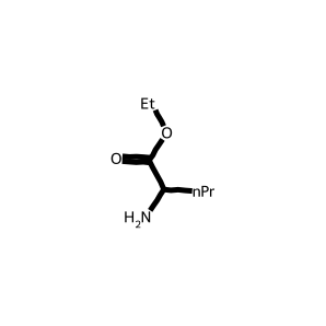 [CH2]CCC(N)C(=O)OCC